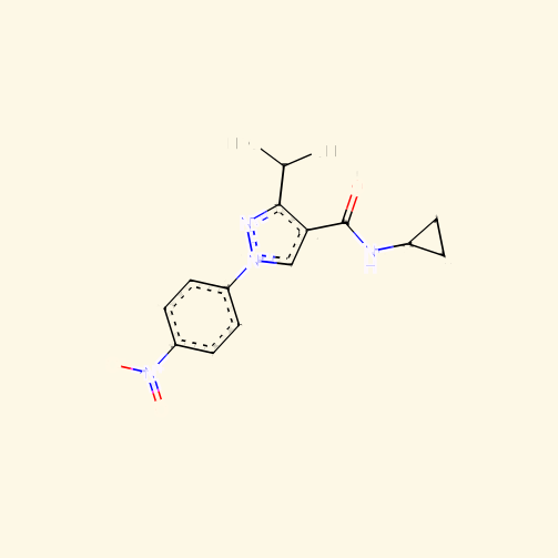 CC(C)c1nn(-c2ccc([N+](=O)[O-])cc2)cc1C(=O)NC1CC1